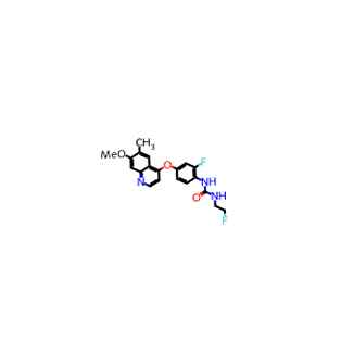 COc1cc2nccc(Oc3ccc(NC(=O)NCCF)c(F)c3)c2cc1C